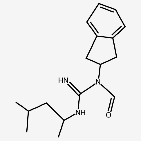 CC(C)CC(C)NC(=N)N(C=O)C1Cc2ccccc2C1